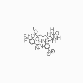 CCOC(=O)C(CCC[C@@H]1SC[C@@H]2NC(=O)N[C@@H]21)Oc1cc(C(F)(F)F)ccc1-c1cn(-c2cc([N+](=O)[O-])ccc2NC)cn1